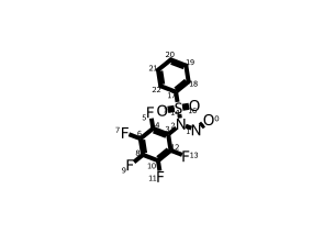 O=NN(c1c(F)c(F)c(F)c(F)c1F)S(=O)(=O)c1ccccc1